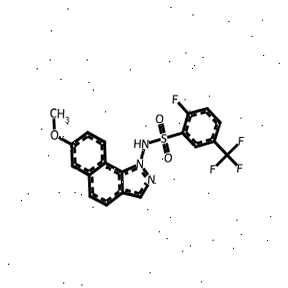 COc1ccc2c(ccc3cnn(NS(=O)(=O)c4cc(C(F)(F)F)ccc4F)c32)c1